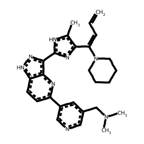 C=C/C=C(\c1nc(-c2n[nH]c3ccc(-c4cncc(CN(C)C)c4)nc23)[nH]c1C)N1CCCCC1